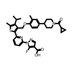 Cc1cc(C2CCN(C(=O)C3CC3)CC2)ccc1OCc1c(-c2cccc(-n3ncc(C(=O)O)c3F)n2)sc(C)c1C(C)C